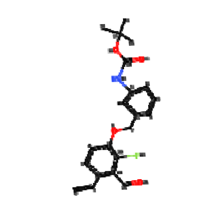 C=Cc1ccc(OCc2cccc(NC(=O)OC(C)(C)C)c2)c(F)c1C=O